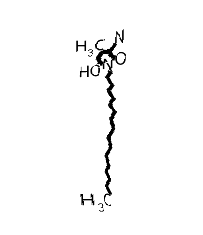 CCCCCCCCCCCCCCCCCCn1c(O)cc(C)c(C#N)c1=O